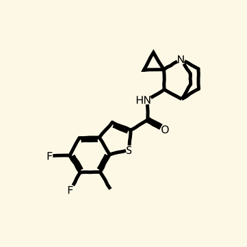 Cc1c(F)c(F)cc2cc(C(=O)NC3C4CCN(CC4)C34CC4)sc12